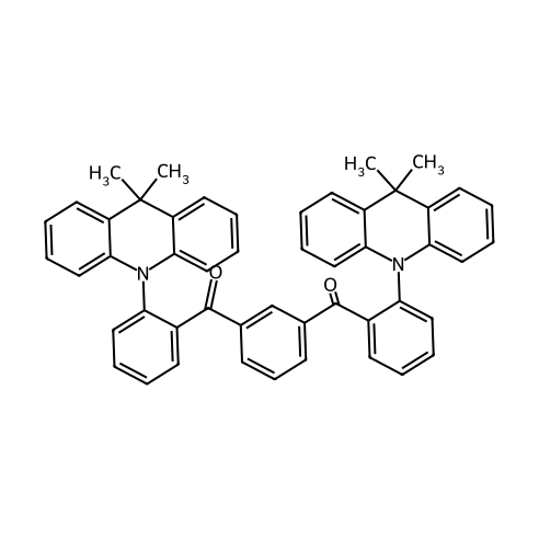 CC1(C)c2ccccc2N(c2ccccc2C(=O)c2cccc(C(=O)c3ccccc3N3c4ccccc4C(C)(C)c4ccccc43)c2)c2ccccc21